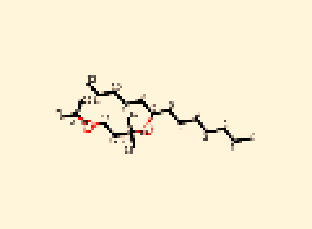 CCCCCCCC(CCCCC)OC(C)(C)CCOC(C)C